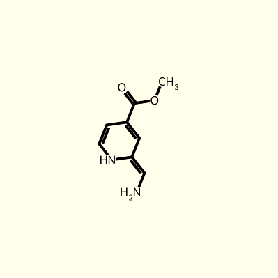 COC(=O)C1=C/C(=C/N)NC=C1